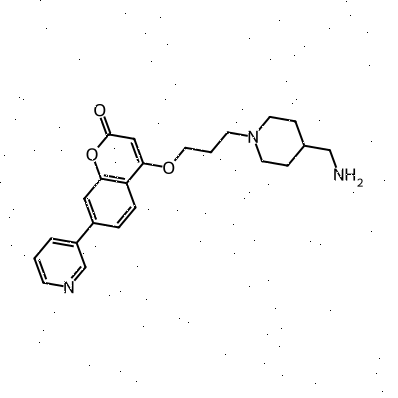 NCC1CCN(CCCOc2cc(=O)oc3cc(-c4cccnc4)ccc23)CC1